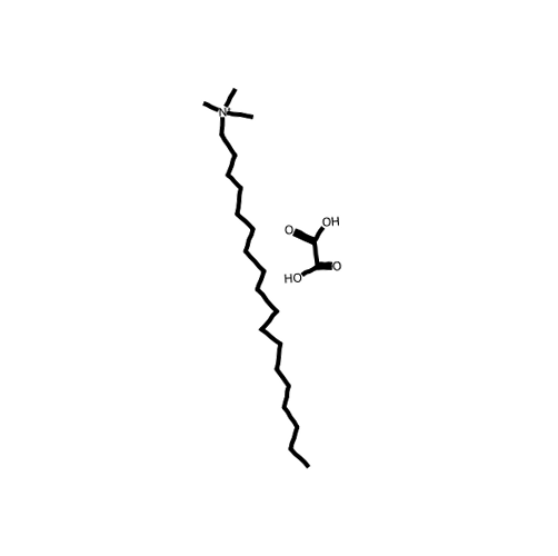 CCCCCCCCCCCCCCCCCC[N+](C)(C)C.O=C(O)C(=O)O